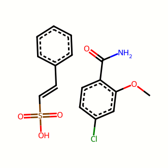 COc1cc(Cl)ccc1C(N)=O.O=S(=O)(O)C=Cc1ccccc1